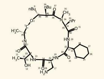 CCCC[C@H]1OC[C@@H](C)NC(=O)[C@H]([C@H](C)O)NC(=O)[C@H](CN)NC(=O)[C@H](C2CCCCC2)NC(=O)[C@H](CCC)N(C)C(=O)[C@@H]1CCCC